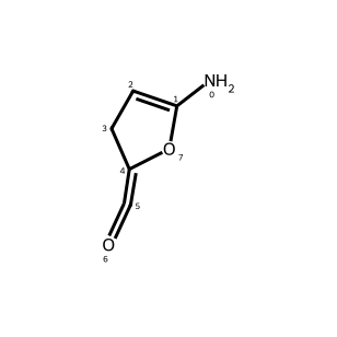 NC1=CCC(=C=O)O1